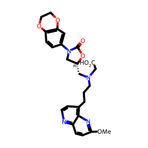 COc1ccc2nccc(CCCN(CC(=O)O)C[C@@H]3CN(c4ccc5c(c4)OCCO5)C(=O)O3)c2n1